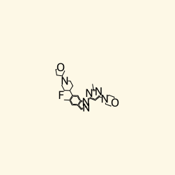 Cc1nc(N2CCOCC2)cc(-n2ncc3cc(C)c(C4CCN(C5CCOC5)CC4F)cc32)n1